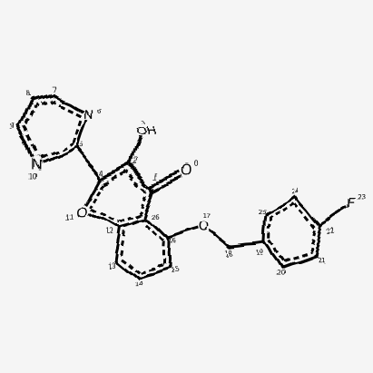 O=c1c(O)c(-c2ncccn2)oc2cccc(OCc3ccc(F)cc3)c12